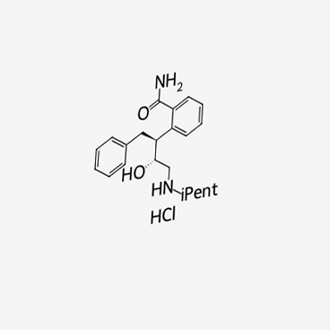 CCCC(C)NC[C@H](O)[C@@H](Cc1ccccc1)c1ccccc1C(N)=O.Cl